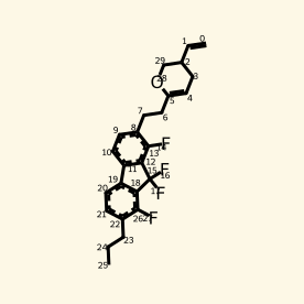 C=CC1CC=C(CCc2ccc3c(c2F)C(F)(F)c2c-3ccc(CCC)c2F)OC1